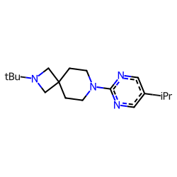 CC(C)c1cnc(N2CCC3(CC2)CN(C(C)(C)C)C3)nc1